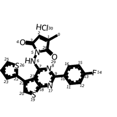 CC1=CC(=O)N(Nc2nc(-c3ccc(F)cc3)nc3scc(-c4cccs4)c23)C1=O.Cl